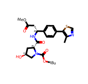 COC(=O)C[C@@H](NC(=O)[C@H]1C[C@H](O)CN1C(=O)OC(C)(C)C)c1ccc(-c2scnc2C)cc1